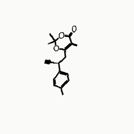 C#C[C@@H](CC1=C(C)C(=O)OC(C)(C)O1)c1ccc(C)cc1